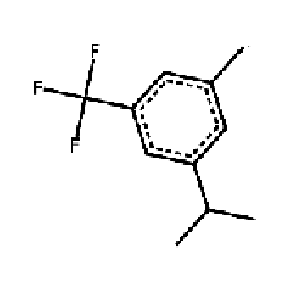 [CH2]c1cc(C(C)C)cc(C(F)(F)F)c1